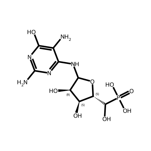 Nc1nc(O)c(N)c(NC2O[C@H](C(O)P(=O)(O)O)[C@@H](O)[C@H]2O)n1